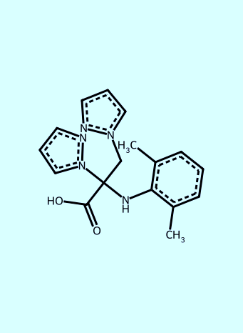 Cc1cccc(C)c1NC(Cn1cccn1)(C(=O)O)n1cccn1